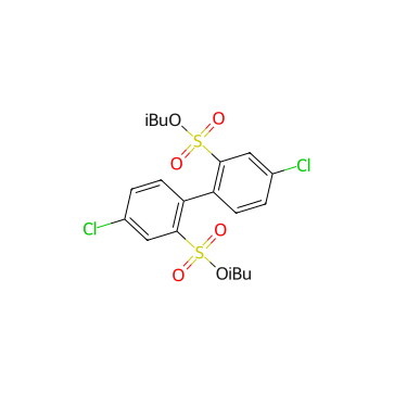 CC(C)COS(=O)(=O)c1cc(Cl)ccc1-c1ccc(Cl)cc1S(=O)(=O)OCC(C)C